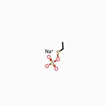 CCSOS(=O)(=O)[O-].[Na+]